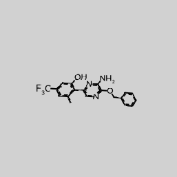 Cc1cc(C(F)(F)F)cc(O)c1-c1cnc(OCc2ccccc2)c(N)n1